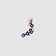 COC(=O)C[C@@H]1COc2cc(O[C@@H]3CCc4c(-c5c(C)cc(-c6ccnnc6)cc5C)ccc(F)c43)ccc21